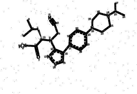 CC(C)C[C@@H](C(N)=O)N(CC#N)c1nscc1-c1ccc(N2CCN(C(C)C)CC2)cc1